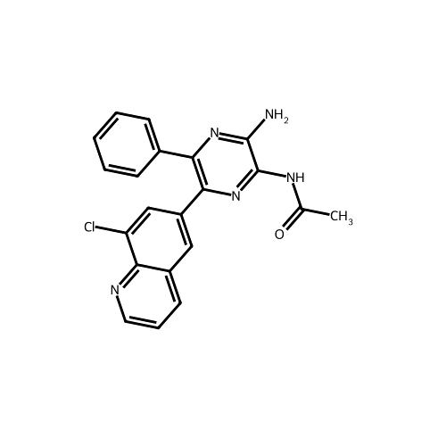 CC(=O)Nc1nc(-c2cc(Cl)c3ncccc3c2)c(-c2ccccc2)nc1N